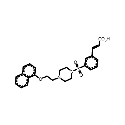 O=C(O)/C=C/c1cccc(S(=O)(=O)N2CCN(CCOc3cccc4ccccc34)CC2)c1